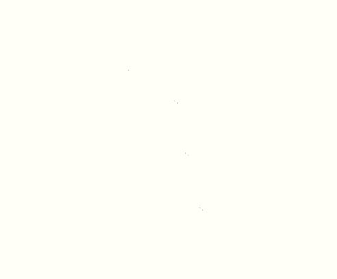 O=c1[nH]c2cc(CO)ccc2cc1-c1csc(-c2ccncc2)n1